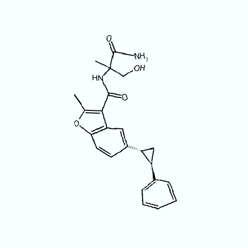 Cc1oc2ccc([C@@H]3C[C@H]3c3ccccc3)cc2c1C(=O)NC(C)(CO)C(N)=O